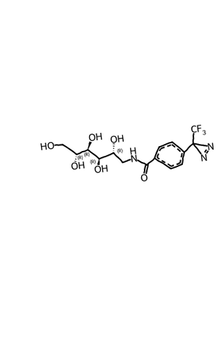 O=C(NC[C@@H](O)[C@@H](O)[C@H](O)[C@H](O)CO)c1ccc(C2(C(F)(F)F)N=N2)cc1